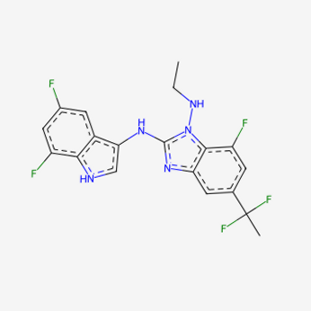 CCNn1c(Nc2c[nH]c3c(F)cc(F)cc23)nc2cc(C(C)(F)F)cc(F)c21